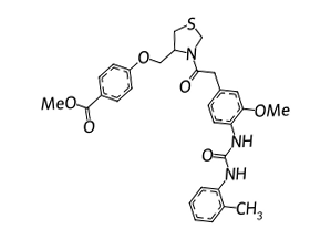 COC(=O)c1ccc(OCC2CSCN2C(=O)Cc2ccc(NC(=O)Nc3ccccc3C)c(OC)c2)cc1